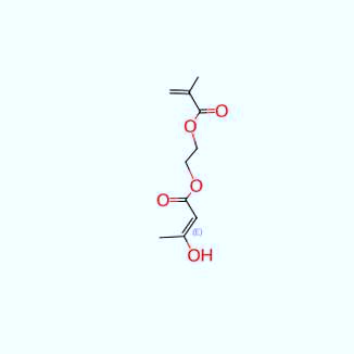 C=C(C)C(=O)OCCOC(=O)/C=C(\C)O